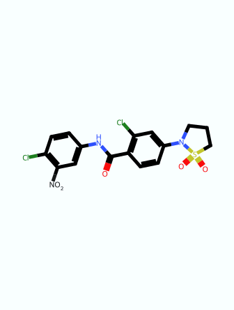 O=C(Nc1ccc(Cl)c([N+](=O)[O-])c1)c1ccc(N2CCCS2(=O)=O)cc1Cl